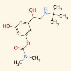 CN(C)C(=O)Oc1cc(O)cc(C(O)CNC(C)(C)C)c1